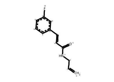 C=CCNC(=O)C=Cc1cccc(F)c1